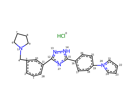 Cl.c1cc(CN2CCCC2)cc(-c2n[nH]c(-c3ccc(-n4cccc4)cc3)n2)c1